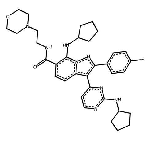 O=C(NCCN1CCOCC1)c1ccc2c(-c3ccnc(NC4CCCC4)n3)c(-c3ccc(F)cc3)nn2c1NC1CCCC1